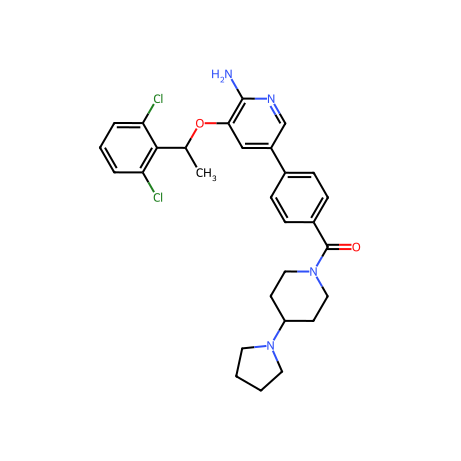 CC(Oc1cc(-c2ccc(C(=O)N3CCC(N4CCCC4)CC3)cc2)cnc1N)c1c(Cl)cccc1Cl